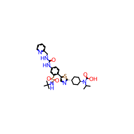 CC(C)N(C(=O)O)[C@H]1CC[C@H](c2ncc(-c3ccc(NC(=O)NCc4ccccn4)cc3S(=O)(=O)NC(C)(C)C)s2)CC1